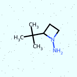 CC(C)(C)C1CCN1N